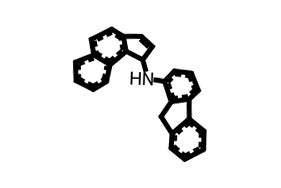 C1=CC(Nc2cccc3c2Cc2ccccc2-3)c2c1ccc1ccccc21